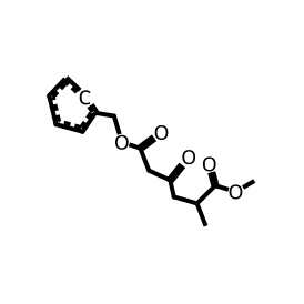 COC(=O)C(C)CC(=O)CC(=O)OCc1ccccc1